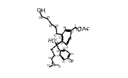 CC(=O)OCc1ccc(C(O)(CCCN(C)C)c2ccc(F)cc2)c(CCCCCO)c1